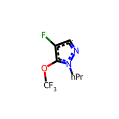 CCCn1n[c]c(F)c1OC(F)(F)F